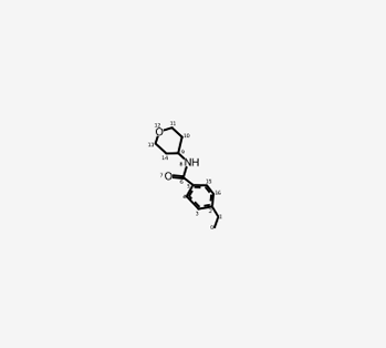 CCc1ccc(C(=O)NC2CCOCC2)cc1